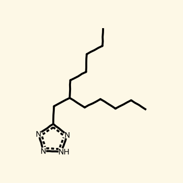 CCCCCC(CCCCC)Cc1nn[nH]n1